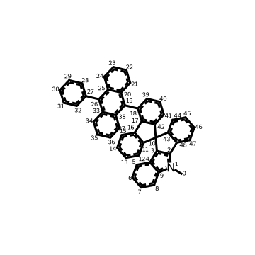 Cn1c2c(c3ccccc31)C1(c3ccccc3-c3c(-c4c5ccccc5c(-c5ccccc5)c5ccccc45)cccc31)c1ccccc1-2